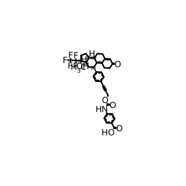 C[C@]12C[C@H](c3ccc(C#CCOC(=O)Nc4ccc(C(=O)O)cc4)cc3)C3=C4CCC(=O)C=C4CC[C@H]3[C@@H]1CC[C@@]2(O)C(F)(F)C(F)(F)F